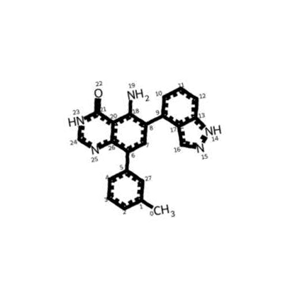 Cc1cccc(-c2cc(-c3cccc4[nH]ncc34)c(N)c3c(=O)[nH]cnc23)c1